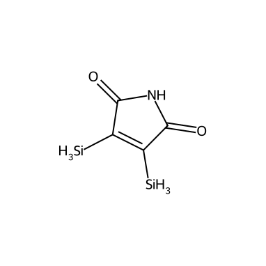 O=C1NC(=O)C([SiH3])=C1[SiH3]